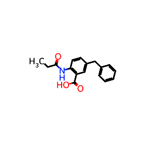 CCC(=O)Nc1ccc(Cc2ccccc2)cc1C(=O)O